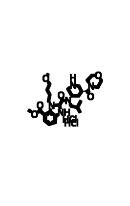 COCCCCN1c2c(cccc2C(=O)OC)NC1C(=O)N(CC(C)C)[C@@H]1CNC[C@H](C(=O)N2CCOCC2)C1.Cl.Cl